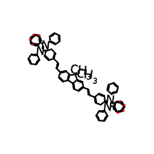 CC1(C)c2cc(C=CC3=CCC(N(c4ccccc4)c4ccccc4)(N(c4ccccc4)c4ccccc4)C=C3)ccc2-c2ccc(C=CC3=CCC(N(c4ccccc4)c4ccccc4)(N(c4ccccc4)c4ccccc4)C=C3)cc21